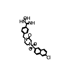 N=C(NO)c1ccc(CN2CCN(S(=O)(=O)c3ccc4cc(Cl)ccc4c3)CC2=O)cc1